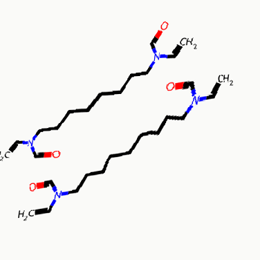 C=CN(C=O)CCCCCCCCCN(C=C)C=O.C=CN(C=O)CCCCCCCCN(C=C)C=O